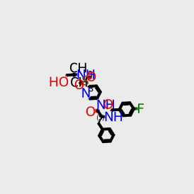 CC(C)(CO)NS(=O)(=O)c1ccc(NC(=O)[C@H](Cc2ccccc2)NC(=O)c2ccc(F)cc2)cn1